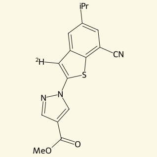 [2H]c1c(-n2cc(C(=O)OC)cn2)sc2c(C#N)cc(C(C)C)cc12